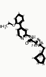 CCOc1ccccc1-c1ccnc(NC(=O)c2nnc(Cc3ccccc3)[nH]2)c1